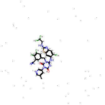 Cc1cncc(-n2c(=O)nc(Nc3cc4sc(NCC(F)F)nc4cc3F)n(Cc3cc(F)c(F)c(C#N)c3)c2=O)c1